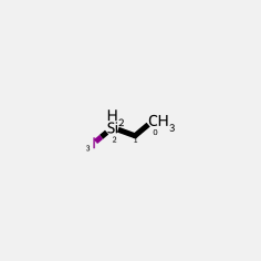 CC[SiH2]I